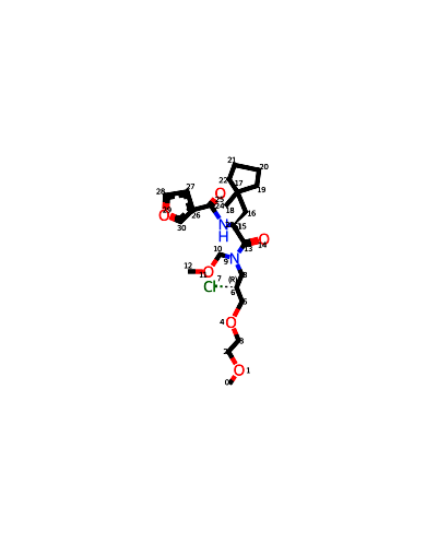 COCCOC[C@H](Cl)CN(COC)C(=O)[C@H](CC1(C)CCCC1)NC(=O)c1ccoc1